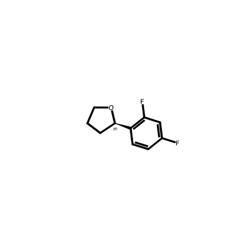 Fc1ccc([C@H]2CCCO2)c(F)c1